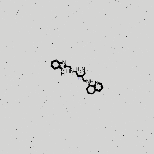 NC/C(=C\CNCc1nc2ccccc2[nH]1)CNC1CCCc2cccnc21